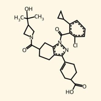 CC(C)(O)C1CN(C(=O)C2CCc3c(C4=CCC(C(=O)O)CC4)nn(C(=O)c4c(Cl)cccc4C4CC4)c3C2)C1